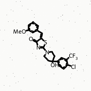 COc1cccc(C=C2SC(N3CCC(O)(c4ccc(Cl)c(C(F)(F)F)c4)CC3)=NC2=O)c1